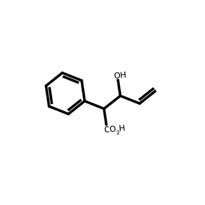 C=CC(O)C(C(=O)O)c1ccccc1